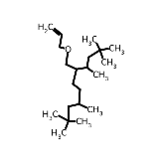 C=CCOCC(CCC(C)CC(C)(C)C)C(C)CC(C)(C)C